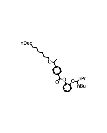 CCCCCCCCCCCCCCCCOC(C)c1ccc(C(=O)Oc2ccccc2OC(CCC)CCCC)cc1